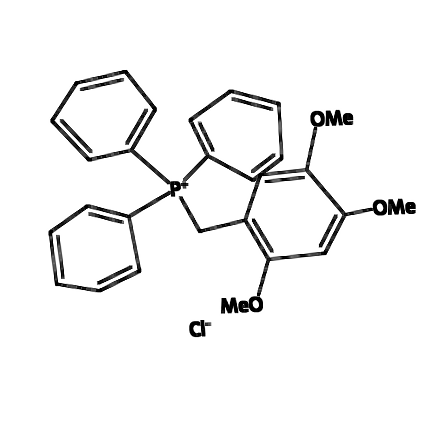 COc1cc(OC)c(OC)cc1C[P+](c1ccccc1)(c1ccccc1)c1ccccc1.[Cl-]